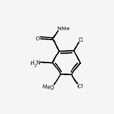 CNC(=O)c1c(Cl)cc(Cl)c(OC)c1N